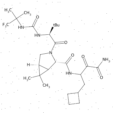 CC(C)(C)[C@H](NC(=O)NC(C)(C)C(F)(F)F)C(=O)N1C[C@H]2C([C@H]1C(=O)NC(CC1CCC1)C(=O)C(N)=O)C2(C)C